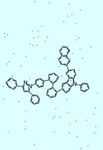 c1ccc(-c2cc(-c3ccccc3)n(-c3ccc(-c4ccccc4-c4ccccc4-c4ccc5c(c4)c4cc(-c6ccc7ccccc7c6)ccc4n5-c4ccccc4)cc3)n2)cc1